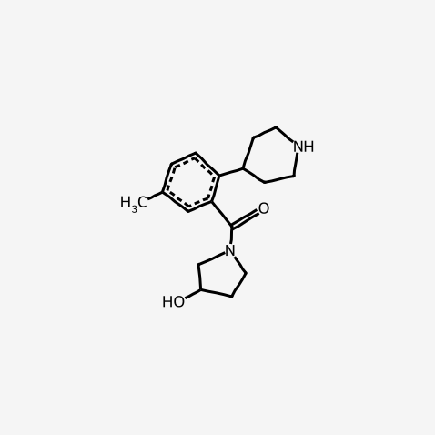 Cc1ccc(C2CCNCC2)c(C(=O)N2CCC(O)C2)c1